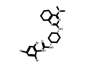 CN(C)c1nc(N[C@H]2CC[C@@H](NC(=O)Nc3c(Br)cc(F)cc3Br)CC2)nc2c1CCCC2